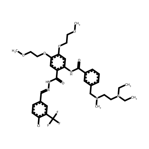 CCN(CC)CCN(C)Cc1cccc(C(=O)Nc2cc(OCCOC)c(OCCOC)cc2C(=O)NN=Cc2ccc(Cl)c(C(F)(F)F)c2)c1